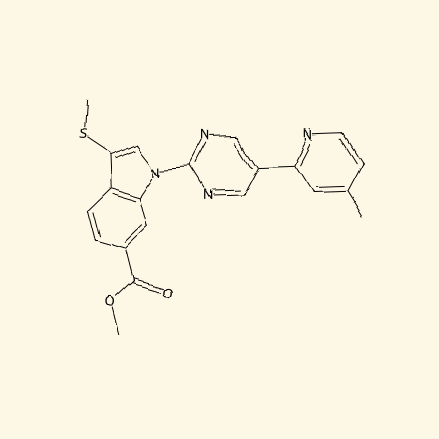 COC(=O)c1ccc2c(SC)cn(-c3ncc(-c4cc(C)ccn4)cn3)c2c1